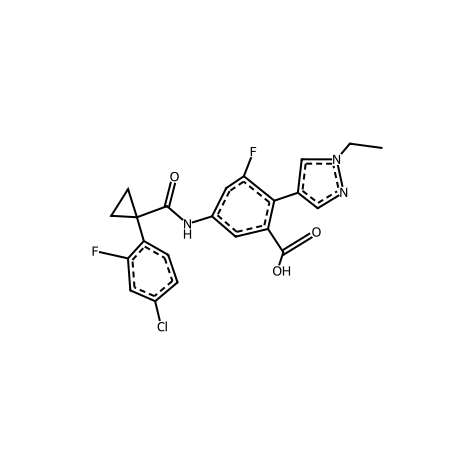 CCn1cc(-c2c(F)cc(NC(=O)C3(c4ccc(Cl)cc4F)CC3)cc2C(=O)O)cn1